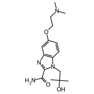 CN(C)CCOc1ccc2c(c1)nc(C(N)=O)n2CC(C)(C)O